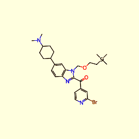 CN(C)C1CCC(c2ccc3nc(C(=O)c4ccnc(Br)c4)n(COCC[Si](C)(C)C)c3c2)CC1